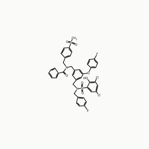 CS(=O)(=O)c1ccc(CN(Cc2cc(CN(Cc3ccc(F)cc3)S(=O)(=O)c3cc(Cl)cc(Cl)c3O)cc(Oc3ccc(F)cc3)c2)C(=O)c2ccccc2)cc1